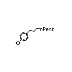 CCCCCCCCc1ccc([O])cc1